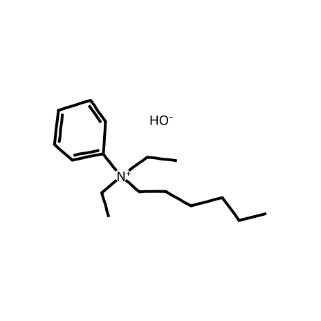 CCCCCC[N+](CC)(CC)c1ccccc1.[OH-]